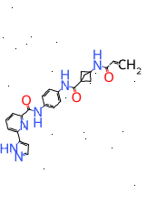 C=CC(=O)NC12CC(C(=O)Nc3ccc(NC(=O)c4cccc(-c5ccn[nH]5)n4)cc3)(C1)C2